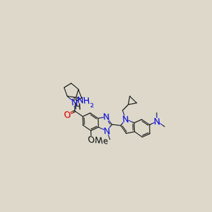 COc1cc(C(=O)N2CC3CCC2[C@@H]3N)cc2nc(-c3cc4ccc(N(C)C)cc4n3CC3CC3)n(C)c12